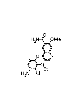 CCOc1c(Cl)c(N)cc(F)c1Oc1ccnc2cc(OC)c(C(N)=O)cc12